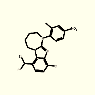 CCC(CC)c1ccc(Cl)c2nc3n(c12)CCCCN3c1ncc([N+](=O)[O-])cc1C